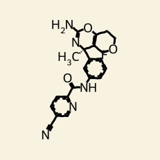 C[C@]1(c2cc(NC(=O)c3ccc(C#N)cn3)ccc2F)N=C(N)OC2=C1COCC2